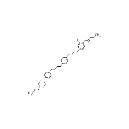 C=CC[C@H]1CC[C@H](c2ccc(CCCCc3ccc(CCCCc4ccc(COCCC)c(F)c4)cc3)cc2)CC1